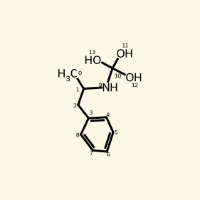 CC(Cc1ccccc1)NC(O)(O)O